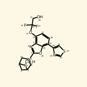 O=C(O)N1C2CC1CN(c1nc3c(OC(F)(F)CO)ccc(-c4cscn4)c3o1)C2